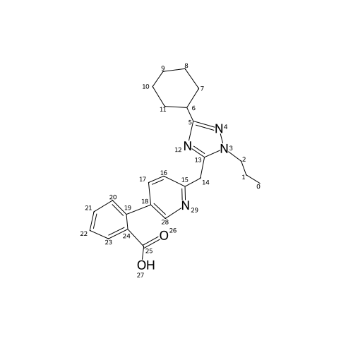 CCCn1nc(C2CCCCC2)nc1Cc1ccc(-c2ccccc2C(=O)O)cn1